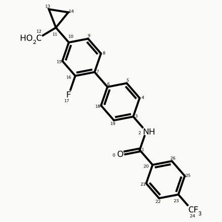 O=C(Nc1ccc(-c2ccc(C3(C(=O)O)CC3)cc2F)cc1)c1ccc(C(F)(F)F)cc1